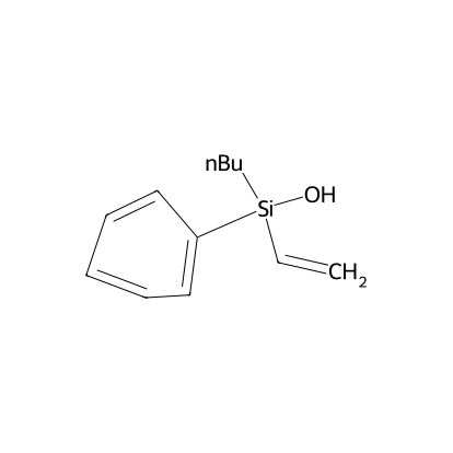 C=C[Si](O)(CCCC)c1ccccc1